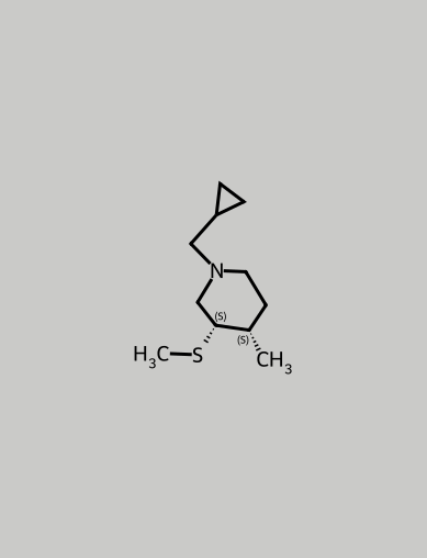 CS[C@@H]1CN(CC2CC2)CC[C@@H]1C